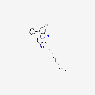 CCCCCCCCCCCc1c(N)ccc2c1[nH]c1cc(Cl)cc(-c3ccccc3)c12